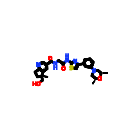 C[C@@H]1CN(c2cccc(-c3csc(NC(=O)CNC(=O)c4cnc5c(c4)[C@](C)(CO)CC5)n3)c2)C[C@H](C)O1